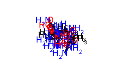 CC(C)[C@H](NC(=O)[C@H](CCCCN)NC(=O)[C@H](CCCNC(=N)N)NC(=O)CNC(=O)[C@H](CCCCN)NC(=O)[C@H](C)NC(=O)[C@H](CCC(N)=O)NC(=O)[C@@H]1CCCN1C(=O)[C@@H](NC(=O)[C@@H]1CCCN1C(=O)[C@H](CCC(=O)O)NC(=O)[C@@H](N)CCCCN)C(C)C)C(=O)N[C@@H](C)C(=O)N[C@@H](C)C(=O)N[C@@H](CCC(N)=O)C(=O)O